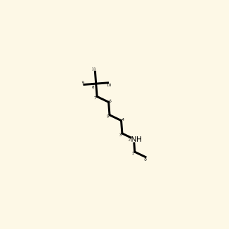 CCNCCCCCC(C)(C)C